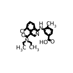 CCN(CC)C(=O)c1cnc(Nc2cc(C(=O)O)ccc2C)c2cccc(Cl)c12